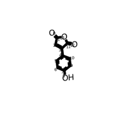 O=C1C=C(c2ccc(O)cc2)C(=O)O1